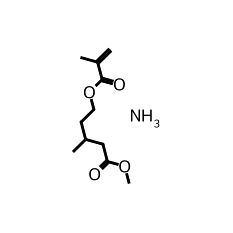 C=C(C)C(=O)OCCC(C)CC(=O)OC.N